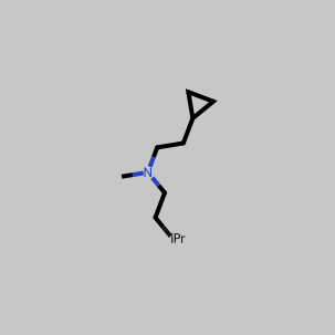 CC(C)CCN(C)CCC1CC1